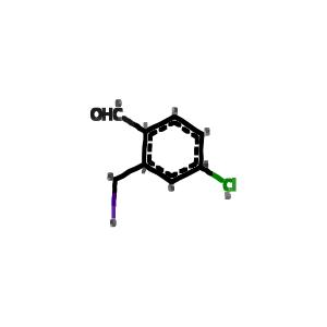 O=Cc1ccc(Cl)cc1CI